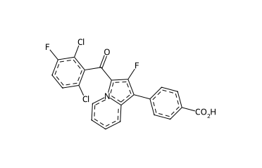 O=C(O)c1ccc(-c2c(F)c(C(=O)c3c(Cl)ccc(F)c3Cl)n3ccccc23)cc1